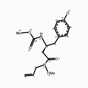 C=CCN(OC)C(=O)C[C@H](Cc1ccc(Cl)cc1)NC(=O)OC(C)(C)C